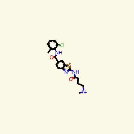 Cc1cccc(Cl)c1NC(=O)c1ccc2nc(NC(=O)CCCN(C)C)sc2c1